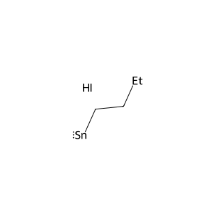 CCC[CH2][Sn].I